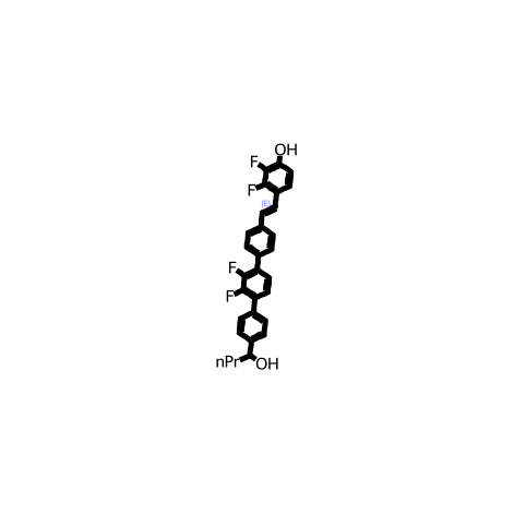 CCCC(O)c1ccc(-c2ccc(-c3ccc(/C=C/c4ccc(O)c(F)c4F)cc3)c(F)c2F)cc1